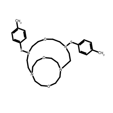 Cc1ccc(SN2CCOCCN(Sc3ccc(C)cc3)CCN3CCOCCN(CCOCC3)CC2)cc1